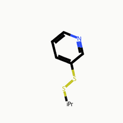 CC(C)SSc1cccnc1